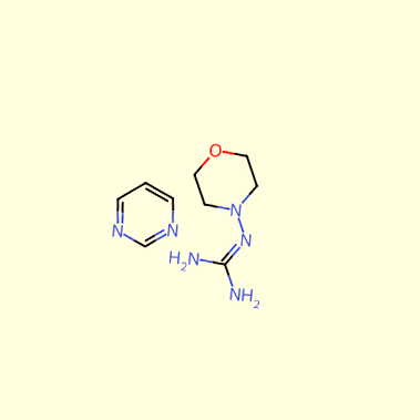 NC(N)=NN1CCOCC1.c1cncnc1